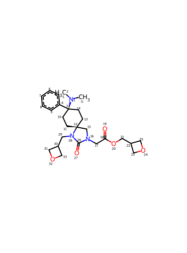 CN(C)[C@]1(c2ccccc2)CC[C@@]2(CC1)CN(CC(=O)OCC1COC1)C(=O)N2CC1COC1